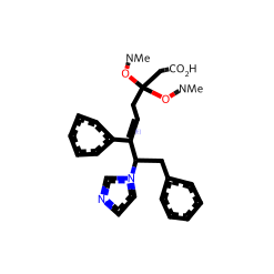 CNOC(C/C=C(\c1ccccc1)C(Cc1ccccc1)n1ccnc1)(CC(=O)O)ONC